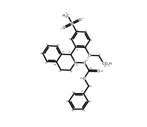 CS(=O)(=O)c1ccc(OCC(=O)O)c(C2c3ccccc3CCN2OC(=O)OCc2ccccc2)c1